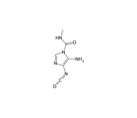 CNC(=O)n1cnc(N=C=O)c1N